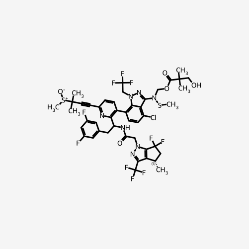 CSN(COC(=O)C(C)(C)CO)c1nn(CC(F)(F)F)c2c(-c3ccc(C#CC(C)(C)[S+](C)[O-])nc3C(Cc3cc(F)cc(F)c3)NC(=O)Cn3nc(C(F)(F)F)c4c3C(F)(F)C[C@@H]4C)ccc(Cl)c12